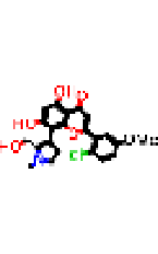 COc1ccc(Cl)c(-c2cc(=O)c3c(O)cc(O)c([C@H]4CCN(C)[C@@H]4CO)c3o2)c1